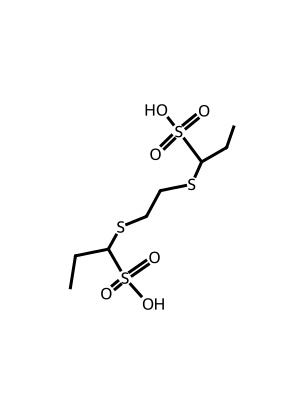 CCC(SCCSC(CC)S(=O)(=O)O)S(=O)(=O)O